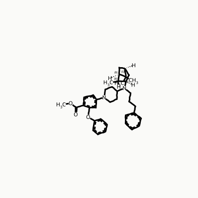 COC(=O)c1ccc(N2CCC(N(CCCc3ccccc3)[C@@H]3C[C@@H]4C[C@H]([C@H]3C)C4(C)C)CC2)cc1Oc1ccccc1